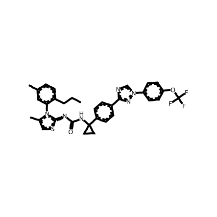 CCCc1ccc(C)cc1-n1c(C)cs/c1=N\C(=O)NC1(c2ccc(-c3ncn(-c4ccc(OC(F)(F)F)cc4)n3)cc2)CC1